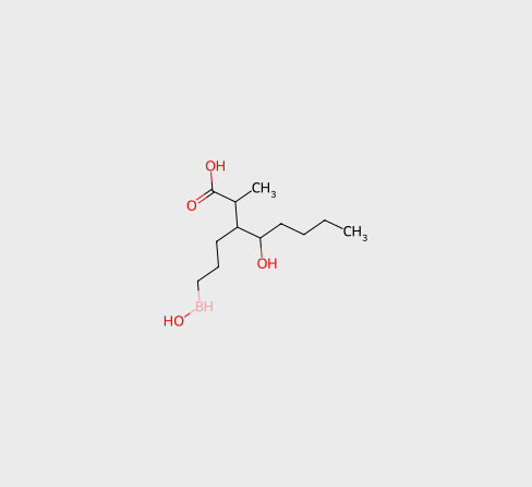 CCCCC(O)C(CCCBO)C(C)C(=O)O